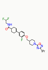 CC(C)c1noc(N2CCC(COc3ccc(C4=CCC(C(=O)NCC(F)F)CC4)cc3F)CC2)n1